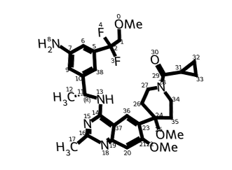 COCC(F)(F)c1cc(N)cc([C@@H](C)Nc2nc(C)nc3cc(OC)c(C4(OC)CCN(C(=O)C5CC5)CC4)cc23)c1